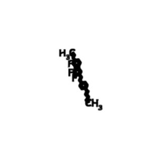 CCCCCc1ccc(CCc2cc3c(c(F)c2F)-c2c-3ccc(CCC)c2F)cc1